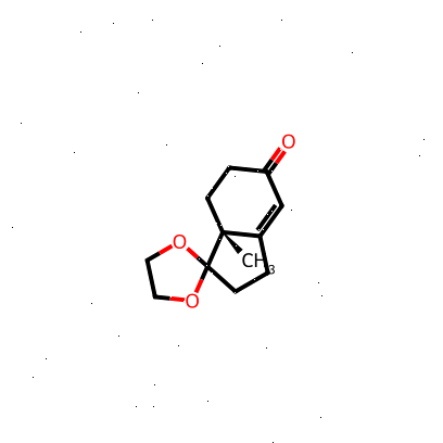 C[C@@]12CCC(=O)C=C1CCC21OCCO1